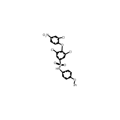 CC(C)Oc1ccc(NS(=O)(=O)c2cc(Cl)c(Oc3ccc([N+](=O)[O-])cc3Cl)c(Cl)c2)cc1